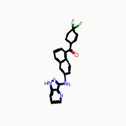 O=C(c1cccc2cc(Nc3n[nH]c4cccnc34)ccc12)C1CCC(F)(F)CC1